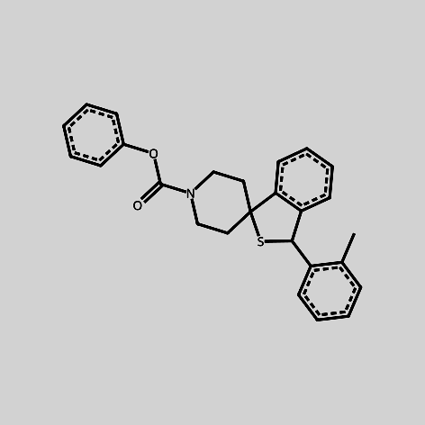 Cc1ccccc1C1SC2(CCN(C(=O)Oc3ccccc3)CC2)c2ccccc21